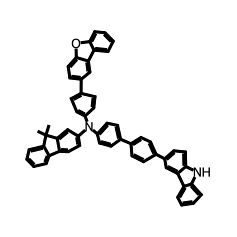 CC1(C)c2ccccc2-c2ccc(N(c3ccc(-c4ccc(-c5ccc6[nH]c7ccccc7c6c5)cc4)cc3)c3ccc(-c4ccc5oc6ccccc6c5c4)cc3)cc21